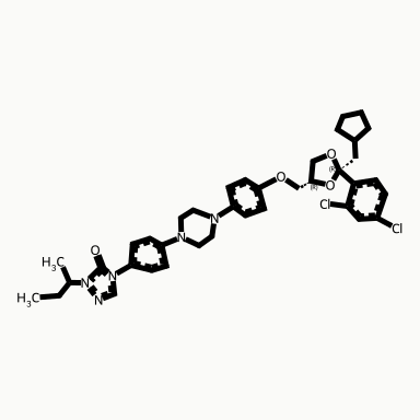 CCC(C)n1ncn(-c2ccc(N3CCN(c4ccc(OC[C@@H]5CO[C@@](CC6CCCC6)(c6ccc(Cl)cc6Cl)O5)cc4)CC3)cc2)c1=O